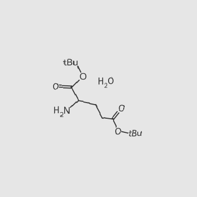 CC(C)(C)OC(=O)CCC(N)C(=O)OC(C)(C)C.O